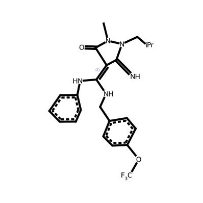 CC(C)CN1C(=N)/C(=C(\NCc2ccc(OC(F)(F)F)cc2)Nc2ccccc2)C(=O)N1C